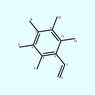 C=Cc1c(C)c(C)c(C)c(C)c1C